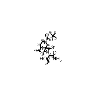 CC=C(O)[C@@H](C(N)=O)N1CC2(CN(C(=O)OC(C)(C)C)CCN2C(C)=O)C1=O